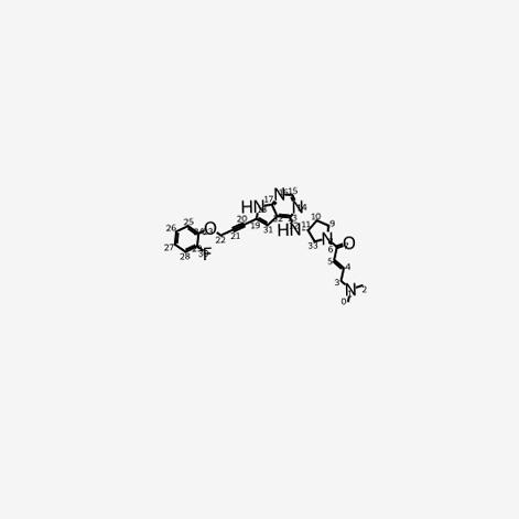 CN(C)CC=CC(=O)N1CC[C@@H](Nc2ncnc3[nH]c(C#CCOc4ccccc4F)cc23)C1